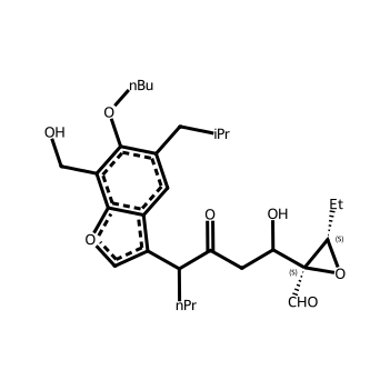 CCCCOc1c(CC(C)C)cc2c(C(CCC)C(=O)CC(O)[C@]3(C=O)O[C@H]3CC)coc2c1CO